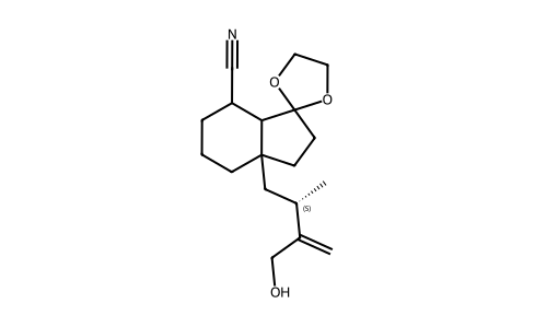 C=C(CO)[C@@H](C)CC12CCCC(C#N)C1C1(CC2)OCCO1